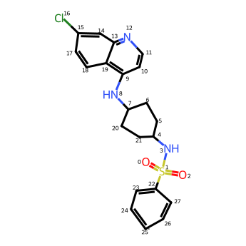 O=S(=O)(NC1CCC(Nc2ccnc3cc(Cl)ccc23)CC1)c1cc[c]cc1